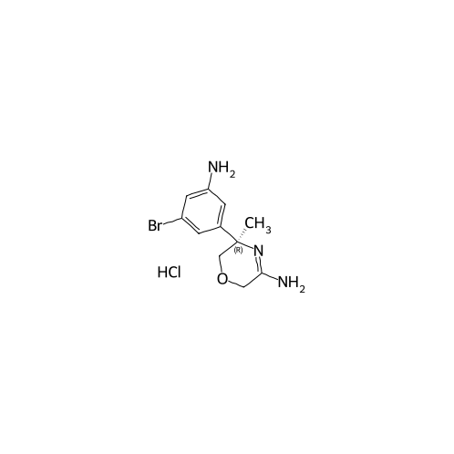 C[C@@]1(c2cc(N)cc(Br)c2)COCC(N)=N1.Cl